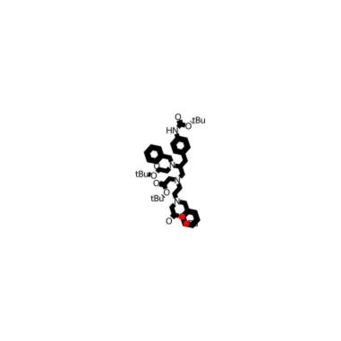 CC(C)(C)OC(=O)CN(CCN(CC(=O)OC(C)(C)C)CC(Cc1ccc(NC(=O)OC(C)(C)C)cc1)N(CC(=O)OC(C)(C)C)Cc1ccccc1)Cc1ccccc1